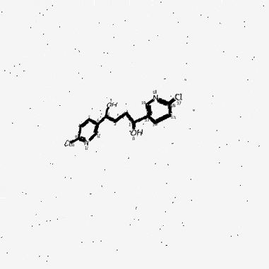 OC(CCC(O)c1ccc(Cl)nc1)c1ccc(Cl)nc1